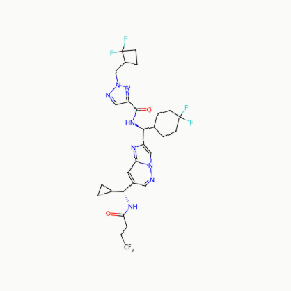 O=C(CCC(F)(F)F)N[C@@H](c1cnn2cc([C@@H](NC(=O)c3cnn(CC4CCC4(F)F)n3)C3CCC(F)(F)CC3)nc2c1)C1CC1